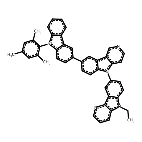 CCn1c2ccc(-n3c4ccncc4c4cc(-c5ccc6c(c5)c5ccccc5n6-c5c(C)cc(C)cc5C)ccc43)cc2c2ncccc21